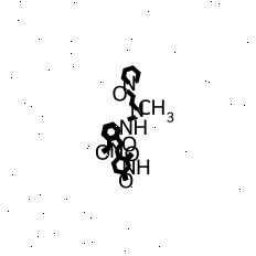 CN(CCNc1cccc2c1C(=O)N(C1CCC(=O)NC1=O)C2=O)CCC(=O)N1CCCCC1